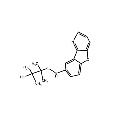 CC(C)(O)C(C)(C)OBc1ccc2oc3cccnc3c2c1